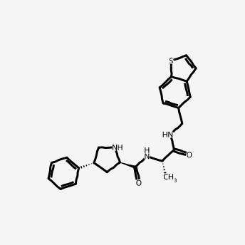 C[C@H](NC(=O)[C@H]1C[C@H](c2ccccc2)CN1)C(=O)NCc1ccc2sccc2c1